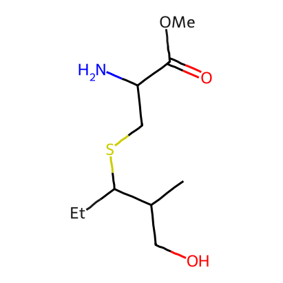 CCC(SCC(N)C(=O)OC)C(C)CO